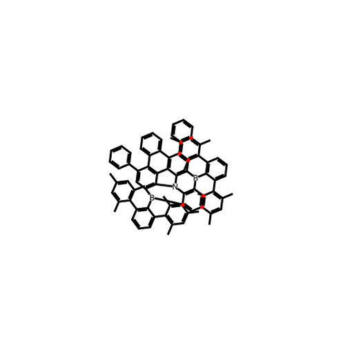 Cc1cc(C)c(-c2cccc(-c3c(C)cc(C)cc3C)c2B2c3cccc4c3-n3c5c2cc(-c2ccccc2)c2c6ccccc6c6c(-c7ccccc7)cc(c3c6c25)B4c2c(-c3c(C)cc(C)cc3C)cccc2-c2c(C)cc(C)cc2C)c(C)c1